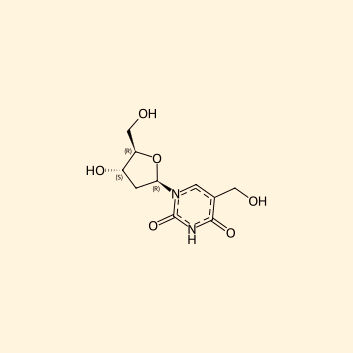 O=c1[nH]c(=O)n([C@H]2C[C@H](O)[C@@H](CO)O2)cc1CO